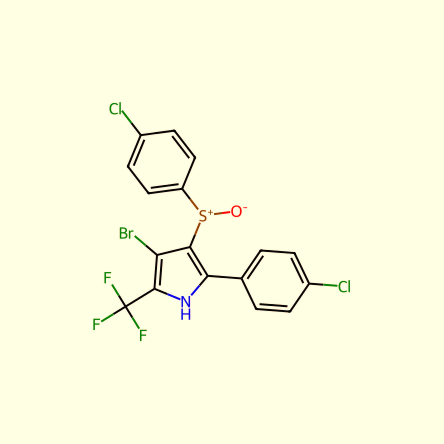 [O-][S+](c1ccc(Cl)cc1)c1c(-c2ccc(Cl)cc2)[nH]c(C(F)(F)F)c1Br